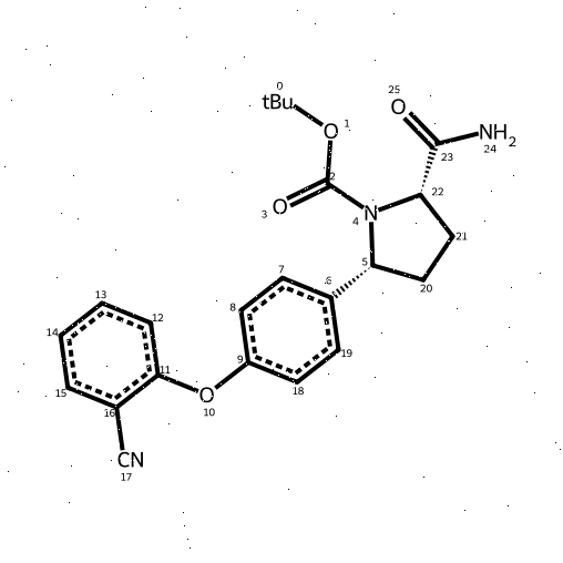 CC(C)(C)OC(=O)N1[C@@H](c2ccc(Oc3ccccc3C#N)cc2)CC[C@H]1C(N)=O